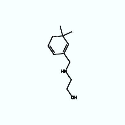 CC1(C)C=C(CNCCO)C=CC1